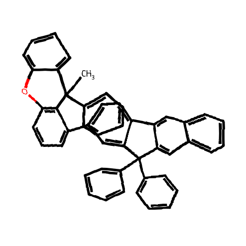 CC1(c2ccccc2)c2ccccc2Oc2cccc(-c3ccc4c(c3)C(c3ccccc3)(c3ccccc3)c3cc5ccccc5cc3-4)c21